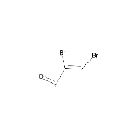 O=[C]C(Br)=CBr